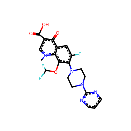 Cn1cc(C(=O)O)c(=O)c2cc(F)c(N3CCN(c4ncccn4)CC3)c(OC(F)F)c21